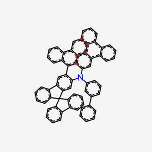 c1ccc(-c2cccc(N(c3ccc4c5ccccc5c5ccccc5c4c3)c3cc4c(cc3-c3cc5ccccc5c5ccccc35)-c3ccccc3C43c4ccccc4-c4ccccc43)c2)cc1